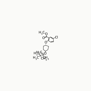 COC(=O)c1cc(Cl)ccc1O[C@H]1CC[C@H](O[Si](C)(C)C(C)(C)C)CC1